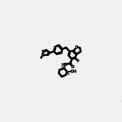 Cn1cc(-c2ccc(Cc3cc(C(=O)N[C@H]4CCCC[C@@H]4O)c(F)c4c3OCC4)cc2)cn1